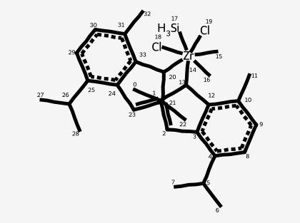 CC1=Cc2c(C(C)C)ccc(C)c2[CH]1[Zr]([CH3])([CH3])([SiH3])([Cl])([Cl])[CH]1C(C)=Cc2c(C(C)C)ccc(C)c21